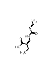 CC=NC(=O)NC=C(CC)C(=O)O